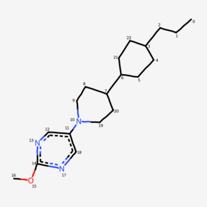 CCCC1CCC(C2CCN(c3cnc(OC)nc3)CC2)CC1